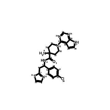 NC1(C(=O)NC(Cc2nccs2)c2ccc(Cl)cc2)CCN(c2ncnc3[nH]ccc23)CC1